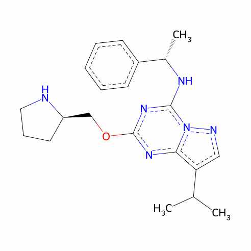 CC(C)c1cnn2c(N[C@@H](C)c3ccccc3)nc(OC[C@H]3CCCN3)nc12